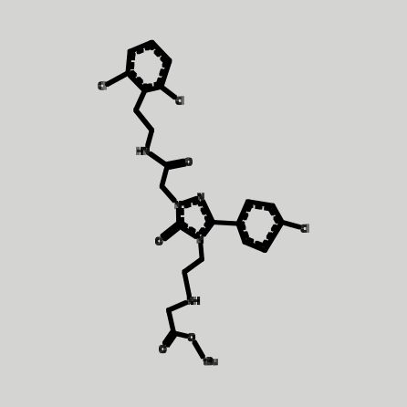 CC(C)(C)OC(=O)CNCCn1c(-c2ccc(Cl)cc2)nn(CC(=O)NCCc2c(Cl)cccc2Cl)c1=O